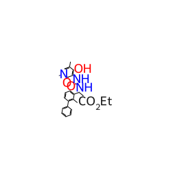 CCOC(=O)CC(NC(=O)Nc1c(O)c(C)cn(C)c1=O)c1cccc(-c2ccccc2)c1C